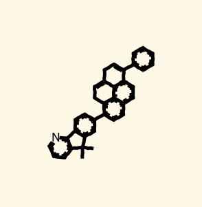 CC1(C)c2cc(-c3ccc4ccc5c6c4c3CC=C6CC=C5c3ccccc3)ccc2-c2ncccc21